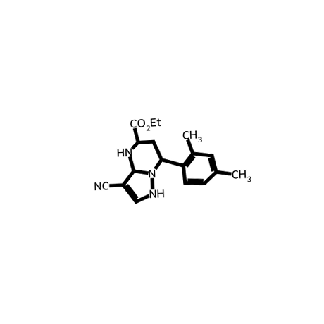 CCOC(=O)C1CC(c2ccc(C)cc2C)N2NC=C(C#N)C2N1